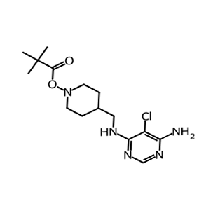 CC(C)(C)C(=O)ON1CCC(CNc2ncnc(N)c2Cl)CC1